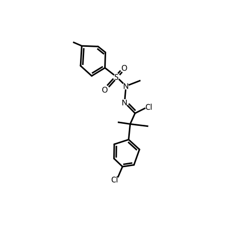 Cc1ccc(S(=O)(=O)N(C)N=C(Cl)C(C)(C)c2ccc(Cl)cc2)cc1